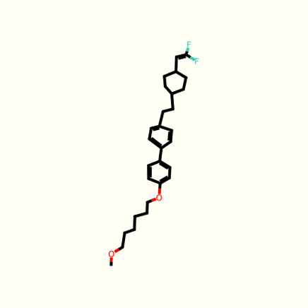 COCCCCCCOc1ccc(-c2ccc(CCC3CCC(C=C(F)F)CC3)cc2)cc1